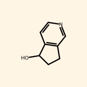 OC1CCc2cnccc21